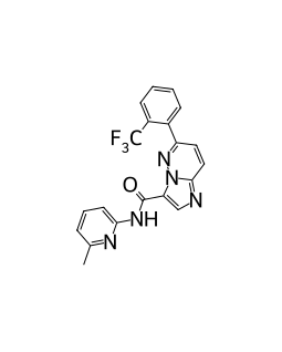 Cc1cccc(NC(=O)c2cnc3ccc(-c4ccccc4C(F)(F)F)nn23)n1